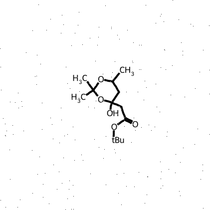 CC1CC(O)(CC(=O)OC(C)(C)C)OC(C)(C)O1